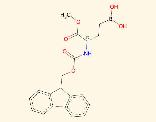 COC(=O)[C@H](CCB(O)O)NC(=O)OCC1c2ccccc2-c2ccccc21